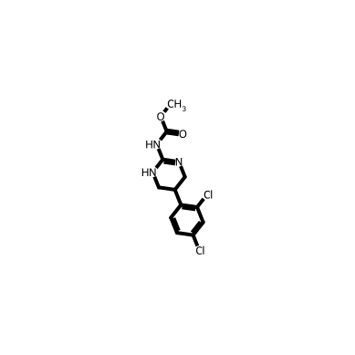 COC(=O)NC1=NCC(c2ccc(Cl)cc2Cl)CN1